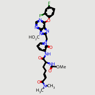 COC(=O)NC(CCC=CC(=O)N(C)C)C(=O)Nc1cccn(Cc2nc3c(Oc4ccc(F)cc4F)ncnc3n2C(=O)O)c1=O